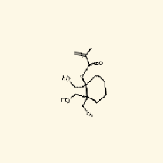 C=C(C)C(=O)OC1(CO)CCCCC1(CO)CO